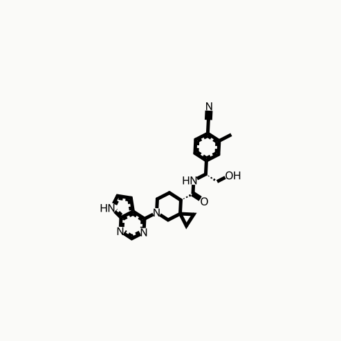 Cc1cc([C@H](CO)NC(=O)[C@H]2CCN(c3ncnc4[nH]ccc34)CC23CC3)ccc1C#N